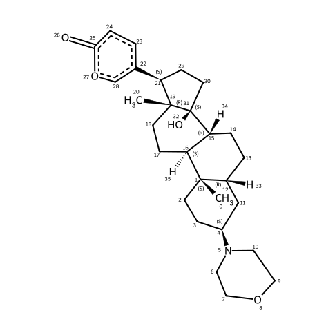 C[C@]12CC[C@H](N3CCOCC3)C[C@H]1CC[C@@H]1[C@@H]2CC[C@]2(C)[C@@H](c3ccc(=O)oc3)CC[C@]12O